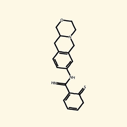 N=C(Nc1ccc2c(c1)CN1CCOCC1C2)C1=CC=CCC1=S